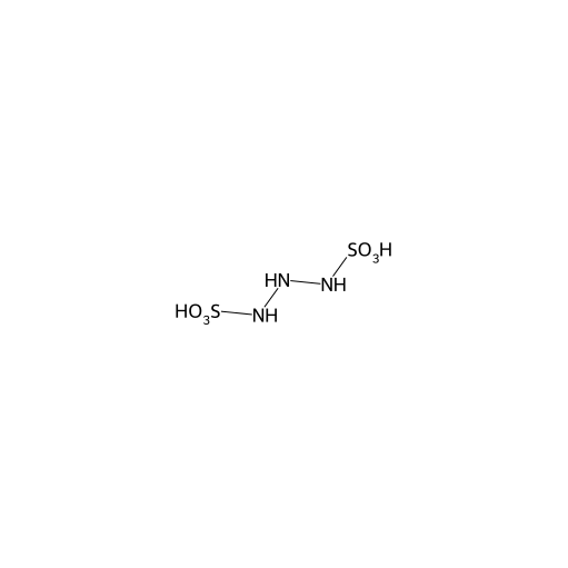 O=S(=O)(O)NNNS(=O)(=O)O